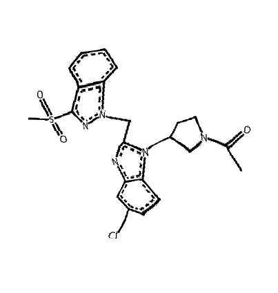 CC(=O)N1CCC(n2c(Cn3nc(S(C)(=O)=O)c4ccccc43)nc3cc(Cl)ccc32)C1